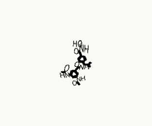 CC(=O)Nc1cc(NC(C)=O)cc(C(=O)NC(c2ccc(C(=O)NO)cc2)C(C)C)c1